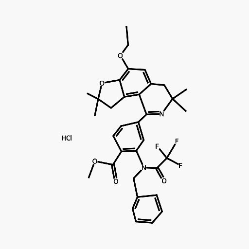 CCOc1cc2c(c3c1OC(C)(C)C3)C(c1ccc(C(=O)OC)c(N(Cc3ccccc3)C(=O)C(F)(F)F)c1)=NC(C)(C)C2.Cl